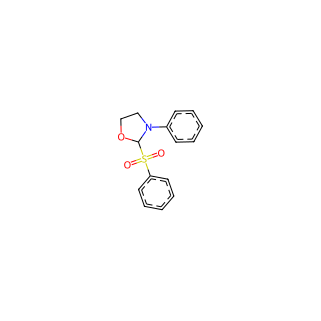 O=S(=O)(c1ccccc1)C1OCCN1c1ccccc1